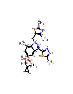 Cc1nnc(-c2nn(Cc3sc(C)nc3C)c3c(C(F)(F)F)cc(S(=O)(=O)NC4(C)CC4)cc23)s1